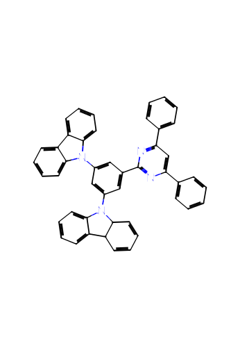 C1=CC2c3ccccc3N(c3cc(-c4nc(-c5ccccc5)cc(-c5ccccc5)n4)cc(-n4c5ccccc5c5ccccc54)c3)C2C=C1